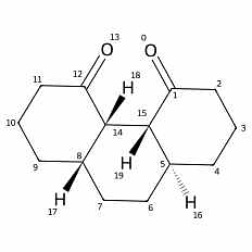 O=C1CCC[C@H]2CC[C@@H]3CCCC(=O)[C@@H]3[C@H]12